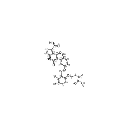 COC(=O)N(C)CCOc1ccc(F)c(F)c1COc1ccc(F)c(-n2c(=O)[nH]c3csc(C(=O)O)c3c2=O)c1